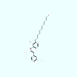 COc1c(CCCCCCCCCCCCO)c(O)cc2oc(-c3ccc(O)c(O)c3)c(O)c(=O)c12